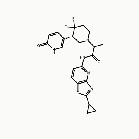 CC(C(=O)Nc1ccc2oc(C3CC3)nc2n1)N1CCC(F)(F)[C@@H](c2ccc(=O)[nH]c2)C1